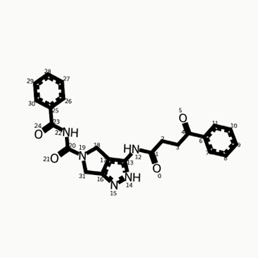 O=C(CCC(=O)c1ccccc1)Nc1[nH]nc2c1CN(C(=O)NC(=O)c1ccccc1)C2